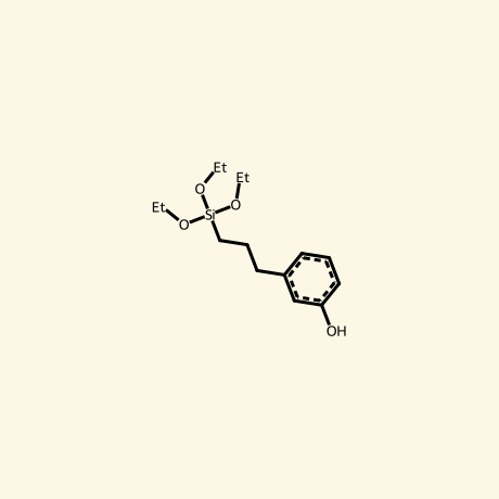 CCO[Si](CCCc1cccc(O)c1)(OCC)OCC